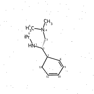 CC(C)N[C@H](CN(C)C)C1C=CC=CC1